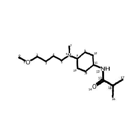 COCCCCN(C)C1CCC(NC(=O)C(C)C)CC1